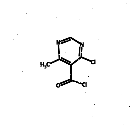 Cc1ncnc(Cl)c1C(=O)Cl